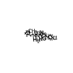 Cn1cccc1CCNC(=O)Nc1snc(SCc2ccc(Cl)cc2)c1C(N)=O